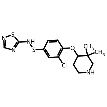 CC1(C)CNCCC1Oc1ccc(SNc2ncns2)cc1Cl